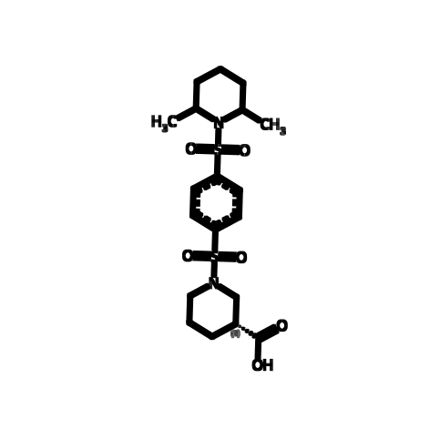 CC1CCCC(C)N1S(=O)(=O)c1ccc(S(=O)(=O)N2CCC[C@@H](C(=O)O)C2)cc1